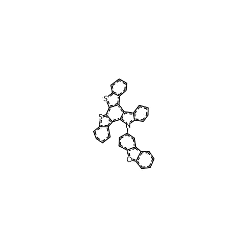 c1ccc2c(c1)oc1ccc(-n3c4ccccc4c4c5c6ccccc6sc5c5sc6ccccc6c5c43)cc12